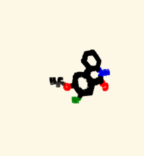 COc1cc2c3c([nH]c(=O)c2cc1Br)CCCC3